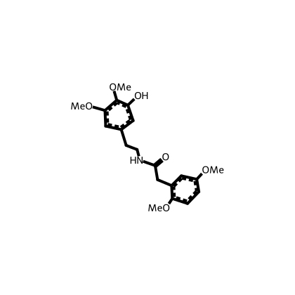 COc1ccc(OC)c(CC(=O)NCCc2cc(O)c(OC)c(OC)c2)c1